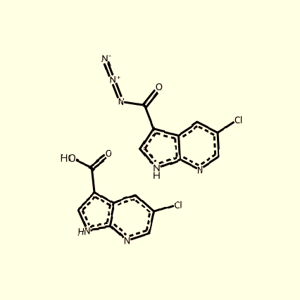 O=C(O)c1c[nH]c2ncc(Cl)cc12.[N-]=[N+]=NC(=O)c1c[nH]c2ncc(Cl)cc12